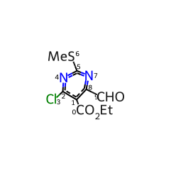 CCOC(=O)c1c(Cl)nc(SC)nc1C=O